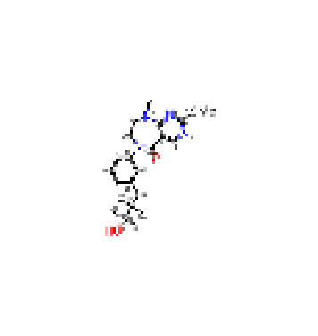 CSc1ncc2c(n1)N(C)CCN(c1cccc(CC(C)(C)[Si](C)(C)O)c1)C2=O